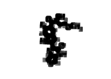 COCCN(C)C(=O)c1cc2cc(-c3nc4cscc4[nH]c3=O)[nH]c2cc1F